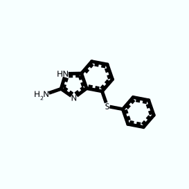 Nc1nc2c(Sc3ccccc3)cccc2[nH]1